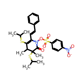 CC(C)SC1=C(C=Cc2ccccc2)N(OS(=O)(=O)c2ccc([N+](=O)[O-])cc2)C(=O)C(C)(SC(C)C)C1C